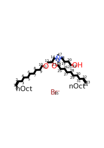 CCCCCCCC/C=C\CCCCCCCCOCC(C[N+](C)(C)CCCCO)OCCCCCCCC/C=C\CCCCCCCC.[Br-]